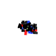 [2H]C([2H])([2H])N(C(=O)OC(C)(C)C)c1nc(-c2cnn(C)c2-c2c(F)cc3c(c2C#N)OC2(CC2)CN3CC)cc2c(CO)n[nH]c(=O)c12